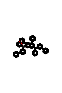 c1ccc(-c2cccc(C(c3ccccc3)c3cc(-c4ccccc4)c4cc(-c5ccccc5)c(N(c5ccccc5)c5cccc(-c6ccccc6)c5)cc4c3)c2)cc1